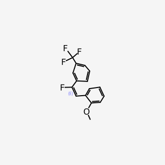 COc1ccccc1/C=C(/F)c1cccc(C(F)(F)F)c1